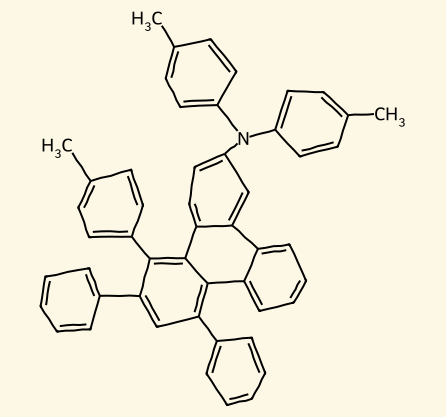 Cc1ccc(-c2c(-c3ccccc3)cc(-c3ccccc3)c3c4ccccc4c4cc(N(c5ccc(C)cc5)c5ccc(C)cc5)ccc4c23)cc1